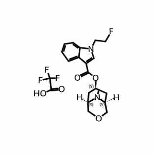 CN1[C@@H]2COC[C@H]1C[C@@H](OC(=O)c1cn(CCF)c3ccccc13)C2.O=C(O)C(F)(F)F